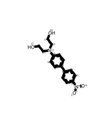 O=[N+]([O-])c1ccc(-c2ccc(N(CCO)CCO)cc2)cc1